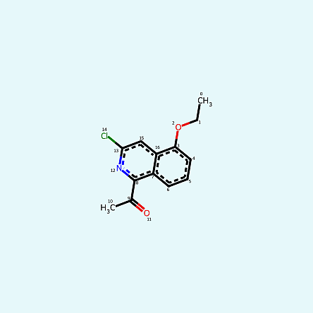 CCOc1cccc2c(C(C)=O)nc(Cl)cc12